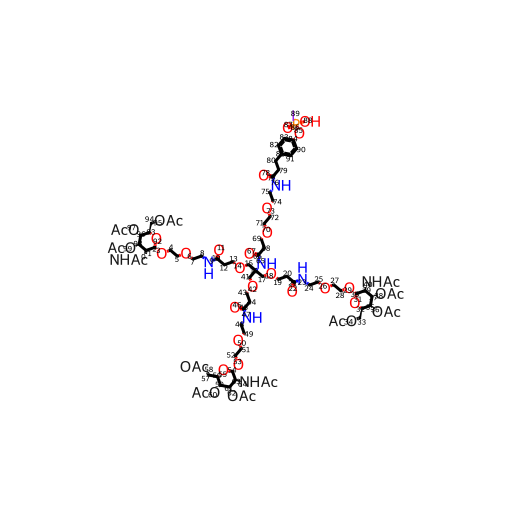 CC(=O)NC1[C@H](OCCOCCNC(=O)CCOCC(COCCC(=O)NCCOCCO[C@@H]2O[C@H](COC(C)=O)[C@@H](OC(C)=O)[C@@H](OC(C)=O)[C@@H]2NC(C)=O)(COCCC(=O)NCCOCCO[C@H]2OC(COC(C)=O)[C@@H](OC(C)=O)[C@@H](OC(C)=O)[C@@H]2NC(C)=O)NC(=O)CCOCCOCCNC(=O)CCc2ccc(OP(=O)(O)I)cc2)O[C@H](COC(C)=O)[C@H](OC(C)=O)[C@@H]1OC(C)=O